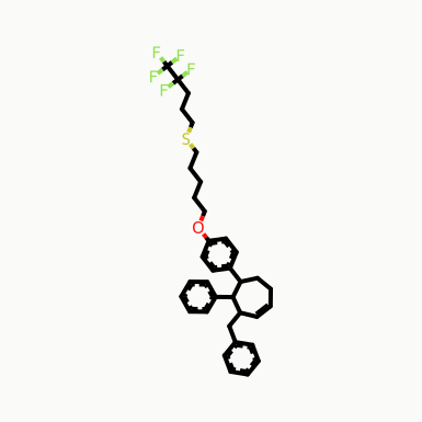 FC(F)(F)C(F)(F)CCCSCCCCCOc1ccc(C2CCC=CC(Cc3ccccc3)C2c2ccccc2)cc1